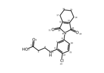 O=C(O)CCNc1cc(N2C(=O)C3=C(CCCC3)C2=O)ccc1Cl